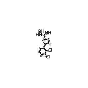 N=C(NO)c1nc(-c2cccc(Cl)c2Cl)cs1